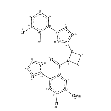 COc1cc(C(=O)N2CCC2c2nc(-c3cccc(Cl)c3C)no2)c(-n2nccn2)cc1Cl